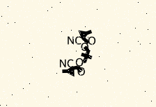 CC1CC1(C#N)C(=O)OCC(C)(C)COC(=O)C1(C#N)CC1C